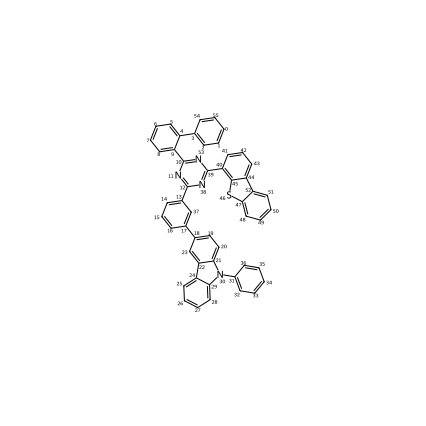 c1ccc(-c2ccccc2-c2nc(-c3cccc(-c4ccc5c(c4)c4ccccc4n5-c4ccccc4)c3)nc(-c3cccc4c3sc3ccccc34)n2)cc1